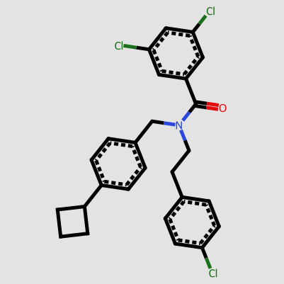 O=C(c1cc(Cl)cc(Cl)c1)N(CCc1ccc(Cl)cc1)Cc1ccc(C2CCC2)cc1